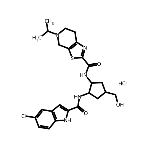 CC(C)N1CCc2nc(C(=O)NC3CC(CO)CC3NC(=O)c3cc4cc(Cl)ccc4[nH]3)sc2C1.Cl